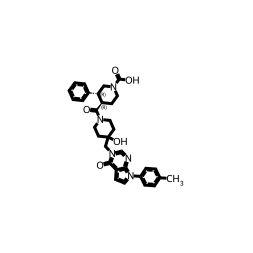 Cc1ccc(-n2ccc3c(=O)n(CC4(O)CCN(C(=O)[C@@H]5CCN(C(=O)O)C[C@H]5c5ccccc5)CC4)cnc32)cc1